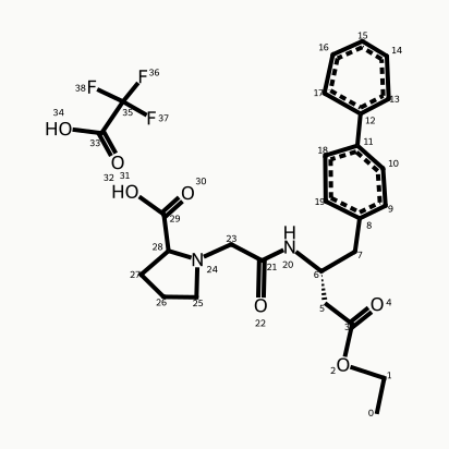 CCOC(=O)C[C@@H](Cc1ccc(-c2ccccc2)cc1)NC(=O)CN1CCCC1C(=O)O.O=C(O)C(F)(F)F